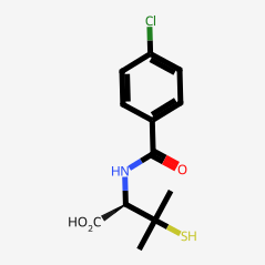 CC(C)(S)[C@H](NC(=O)c1ccc(Cl)cc1)C(=O)O